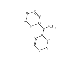 CC(C1C=CCCC1)C1C=CCCC1